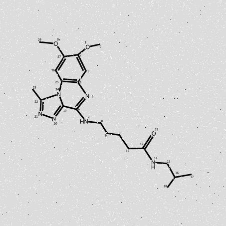 COc1cc2nc(NCCCCC(=O)NCC(C)C)c3nnc(C)n3c2cc1OC